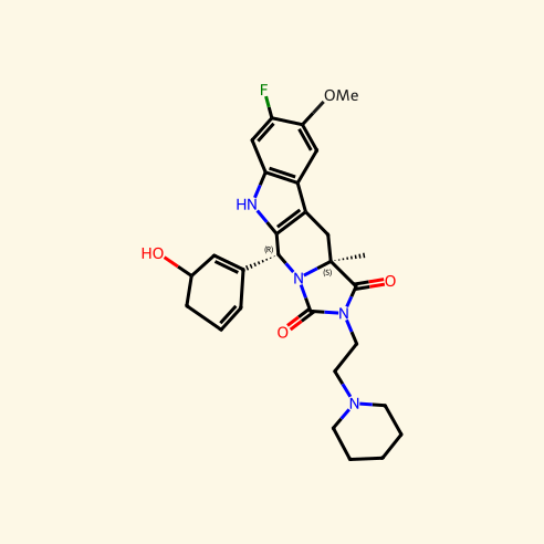 COc1cc2c3c([nH]c2cc1F)[C@@H](C1=CC(O)CC=C1)N1C(=O)N(CCN2CCCCC2)C(=O)[C@]1(C)C3